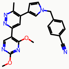 COc1ncc(-c2cc(-c3ccn(Cc4ccc(C#N)cc4)c3)c(C)nn2)c(OC)n1